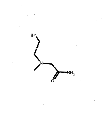 CC(C)CCN(C)CC(N)=O